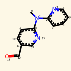 CN(c1ccccn1)c1ccc(C=O)cn1